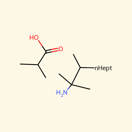 CC(C)C(=O)O.CCCCCCCC(C)C(C)(C)N